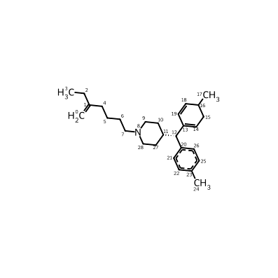 C=C(CC)CCCCN1CCC([C@H](C2=CCC(C)C=C2)c2ccc(C)cc2)CC1